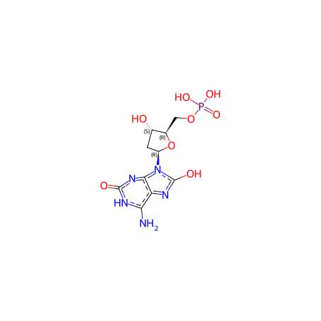 Nc1[nH]c(=O)nc2c1nc(O)n2[C@H]1C[C@H](O)[C@@H](COP(=O)(O)O)O1